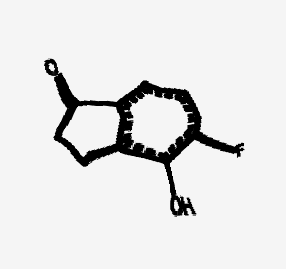 O=C1CCc2c1ccc(F)c2O